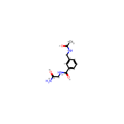 CC(=O)NCc1cccc(C(=O)NCC(N)=O)c1